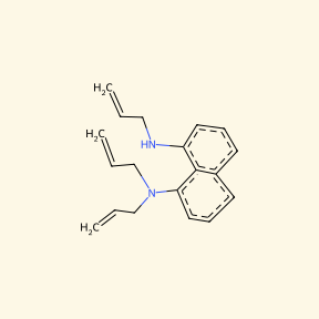 C=CCNc1cccc2cccc(N(CC=C)CC=C)c12